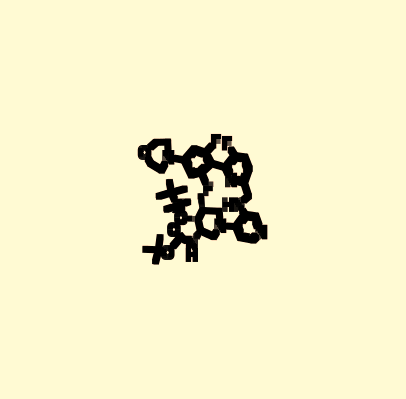 C[C@H]1CN(c2ccncc2NCc2ccc(F)c(-c3c(F)cc(N4CCOCC4)cc3F)n2)C[C@@H](NC(=O)OC(C)(C)C)[C@@H]1O[Si](C)(C)C(C)(C)C